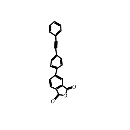 O=C1OC(=O)c2cc(-c3ccc(C#Cc4ccccc4)cc3)ccc21